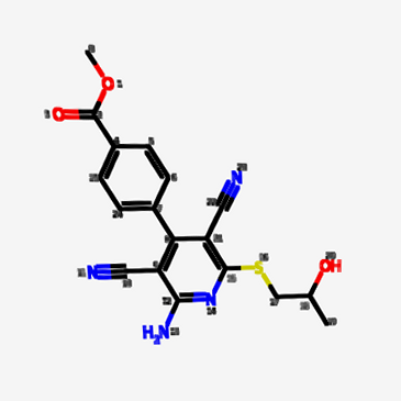 COC(=O)c1ccc(-c2c(C#N)c(N)nc(SCC(C)O)c2C#N)cc1